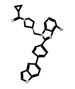 O=C(C1CC1)N1CC[C@@H](Cn2c(-c3ccc(-c4ccc5occc5c4)cc3)nc3c(Br)cccc32)C1